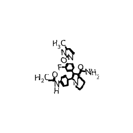 C=CC(=O)Nc1ccc(-c2c(-c3ccc(Oc4nccc(C)n4)c(F)c3)c(C(N)=O)c3n2CCCC3)cc1